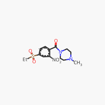 CCS(=O)(=O)c1[c]cc(C(=O)N2CCN(C)CC2)c([N+](=O)[O-])c1